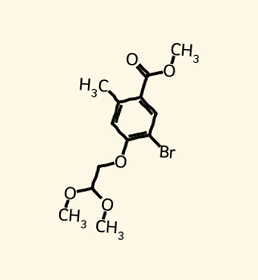 COC(=O)c1cc(Br)c(OCC(OC)OC)cc1C